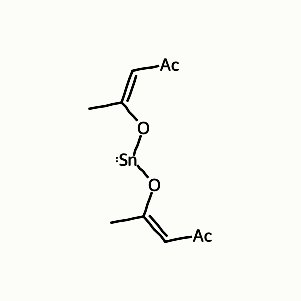 CC(=O)/C=C(/C)[O][Sn][O]/C(C)=C\C(C)=O